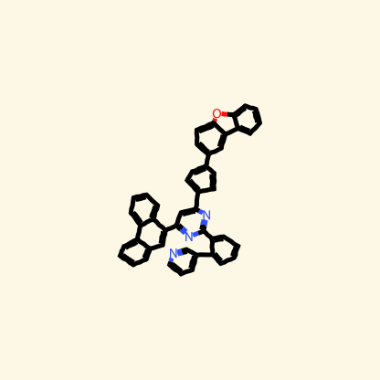 c1cncc(-c2ccccc2-c2nc(-c3ccc(-c4ccc5oc6ccccc6c5c4)cc3)cc(-c3cc4ccccc4c4ccccc34)n2)c1